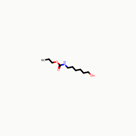 N#CCCOC(=O)NCCCCCCO